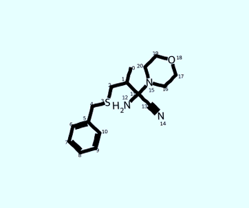 CC(CSCc1ccccc1)C(N)(C#N)N1CCOCC1